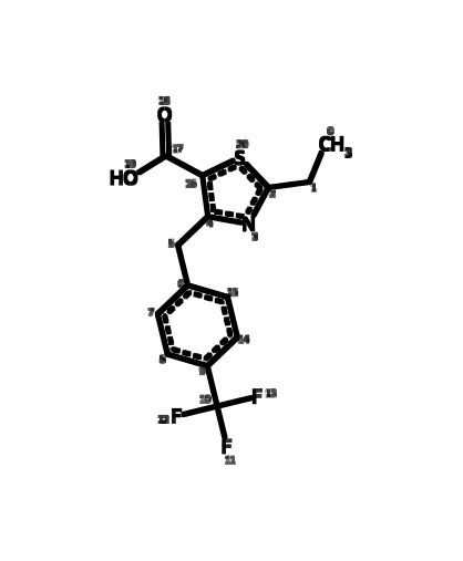 CCc1nc(Cc2ccc(C(F)(F)F)cc2)c(C(=O)O)s1